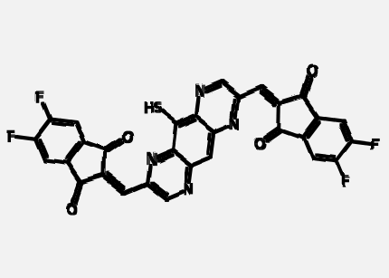 O=C1C(=Cc2cnc3c(S)c4nc(C=C5C(=O)c6cc(F)c(F)cc6C5=O)cnc4cc3n2)C(=O)c2cc(F)c(F)cc21